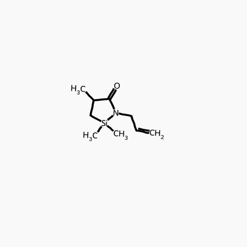 C=CCN1C(=O)C(C)C[Si]1(C)C